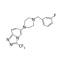 Fc1cccc(CN2CCN(c3ccc4nnc(C(F)(F)F)n4c3)CC2)c1